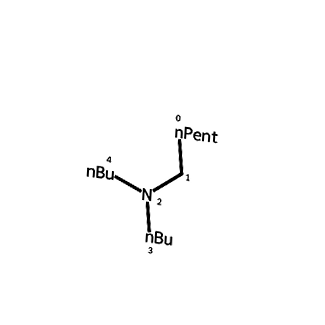 CCCCCCN(CCCC)CCCC